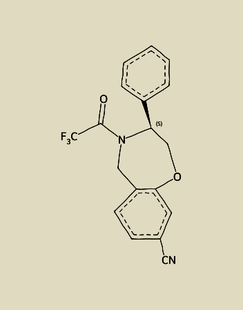 N#Cc1ccc2c(c1)OC[C@H](c1ccccc1)N(C(=O)C(F)(F)F)C2